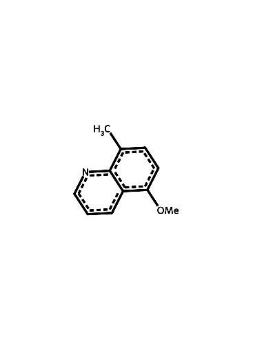 COc1ccc(C)c2ncccc12